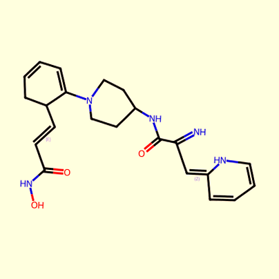 N=C(/C=C1/C=CC=CN1)C(=O)NC1CCN(C2=CC=CCC2/C=C/C(=O)NO)CC1